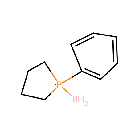 B[P]1(c2ccccc2)CCCC1